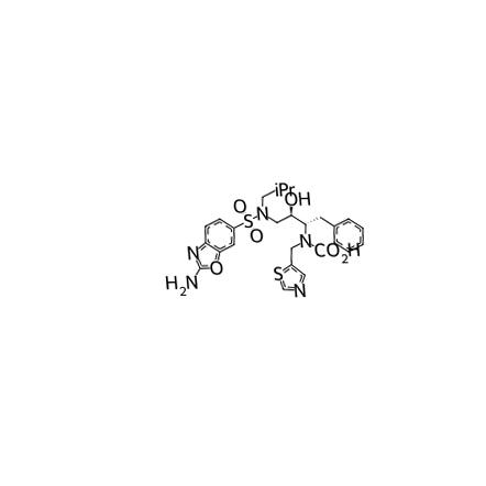 CC(C)CN(C[C@@H](O)[C@H](Cc1ccccc1)N(Cc1cncs1)C(=O)O)S(=O)(=O)c1ccc2nc(N)oc2c1